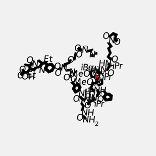 CCc1c2c(nc3ccc(OC(=O)N(CCOCCOC(=O)N(C)CCN(C)C)CCN(C)C(=O)OCc4ccc(NC(=O)[C@H](CCCNC(N)=O)NC(=O)[C@H](NC(=O)[C@H](Cc5ccccc5)NC(=O)[C@H](C)[C@@H](OC)[C@@H]5CCCN5C(=O)C[C@@H](OC)[C@H]([C@@H](C)CC)N(C)C(=O)[C@@H](NC(=O)[C@@H](NC(=O)CCCCCN5C(=O)C=CC5=O)C(C)C)C(C)C)C(C)C)cc4)cc13)-c1cc3c(c(=O)n1C2)COC(=O)[C@@]3(O)CC